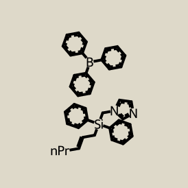 CCCC=CC[Si](Cn1ccnc1)(c1ccccc1)c1ccccc1.c1ccc(B(c2ccccc2)c2ccccc2)cc1